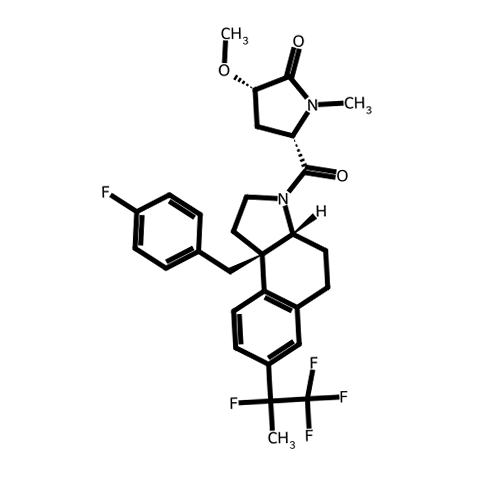 CO[C@H]1C[C@@H](C(=O)N2CC[C@@]3(Cc4ccc(F)cc4)c4ccc(C(C)(F)C(F)(F)F)cc4CC[C@@H]23)N(C)C1=O